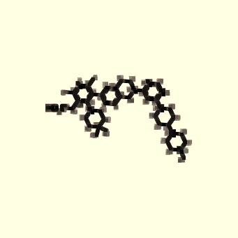 Cc1nc(C)c(-c2ccc3c(c2)CCN(c2cc(N4CCC(N5CCN(C)CC5)CC4)ncn2)C3)c(N2CCC(C)(C)CC2)c1CC(=O)O